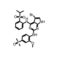 COc1cc(P(C)(C)=O)ccc1Nc1nc(Nc2ccccc2S(=O)(=O)C(C)C)c2c(Br)c[nH]c2n1